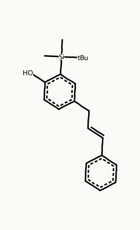 CC(C)(C)[Si](C)(C)c1cc(CC=Cc2ccccc2)ccc1O